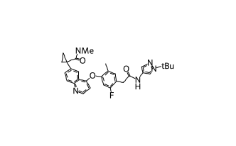 CNC(=O)C1(c2ccc3nccc(Oc4cc(F)c(CC(=O)Nc5cnn(C(C)(C)C)c5)cc4C)c3c2)CC1